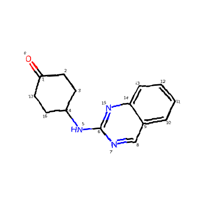 O=C1CCC(Nc2ncc3ccccc3n2)CC1